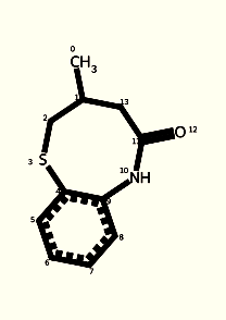 CC1CSc2ccccc2NC(=O)C1